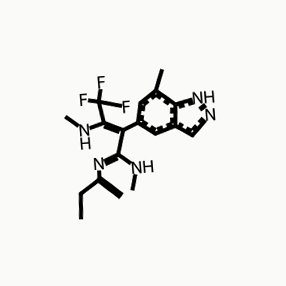 C=C(CC)/N=C(NC)/C(=C(\NC)C(F)(F)F)c1cc(C)c2[nH]ncc2c1